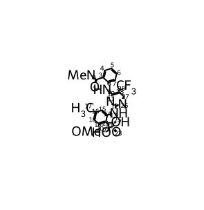 CNC(=O)c1ccccc1Nc1nc(Nc2cc(C)cc(OC)c2P(=O)(O)O)ncc1C(F)(F)F